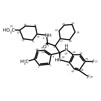 Cc1ccc(C2(C(C(=O)NC3CCC(C(=O)O)CC3)C3CCCCC3)Nc3cc(F)c(F)cc3N2)cc1